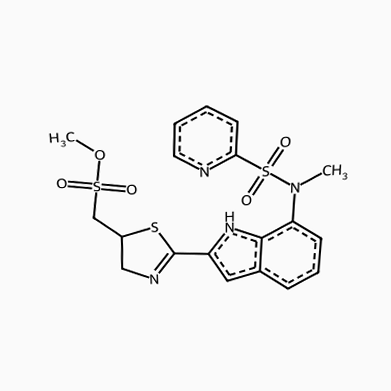 COS(=O)(=O)CC1CN=C(c2cc3cccc(N(C)S(=O)(=O)c4ccccn4)c3[nH]2)S1